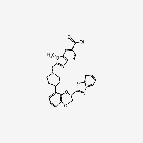 Cn1c(CN2CCC(c3cccc4c3OC(c3nc5ccccc5s3)CO4)CC2)nc2ccc(C(=O)O)cc21